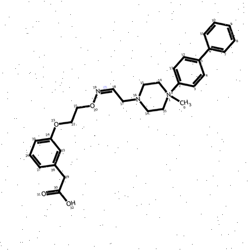 C[N+]1(c2ccc(-c3ccccc3)cc2)CCN(C/C=N\OCCOc2cccc(CC(=O)O)c2)CC1